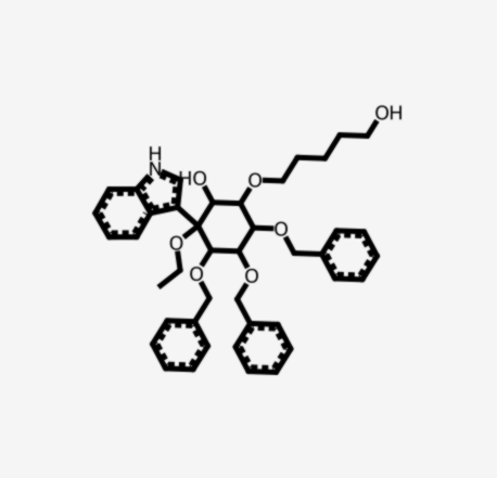 CCOC1(c2c[nH]c3ccccc23)C(O)C(OCCCCCO)C(OCc2ccccc2)C(OCc2ccccc2)C1OCc1ccccc1